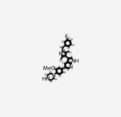 COc1cc(-c2cnc3[nH]cc(-c4c(C)nn(Cc5cccc(F)c5)c4C)c3c2)ccc1N1CCNCC1